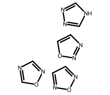 c1cnon1.c1conn1.c1ncon1.c1nnc[nH]1